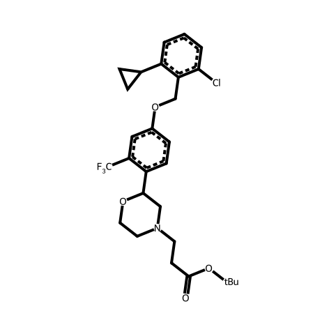 CC(C)(C)OC(=O)CCN1CCOC(c2ccc(OCc3c(Cl)cccc3C3CC3)cc2C(F)(F)F)C1